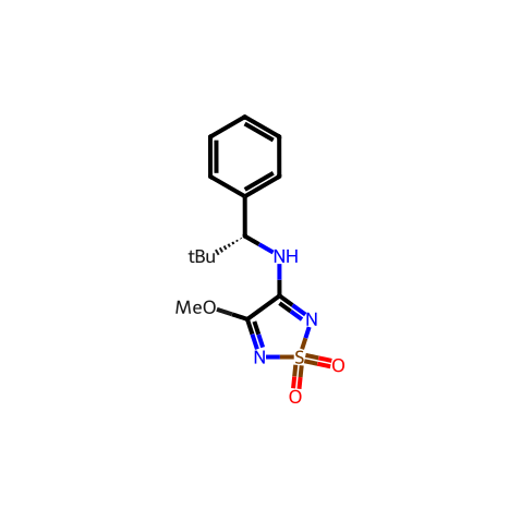 COC1=NS(=O)(=O)N=C1N[C@@H](c1ccccc1)C(C)(C)C